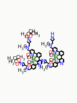 COc1cc(-c2nccc(-c3cccc(-c4ccc(CN(C)CC5CN(C(=O)OC(C)(C)C)C5)c(OC)n4)c3Cl)c2Cl)ccc1CN(C)CC1CN(C(=O)OC(C)(C)C)C1.COc1cc(-c2nccc(-c3cccc(-c4ccc(CN(C)CC5CNC5)c(OC)n4)c3Cl)c2Cl)ccc1CN(C)CC1CNC1